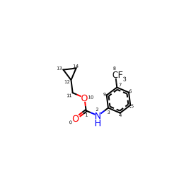 O=C(Nc1c[c]cc(C(F)(F)F)c1)OCC1CC1